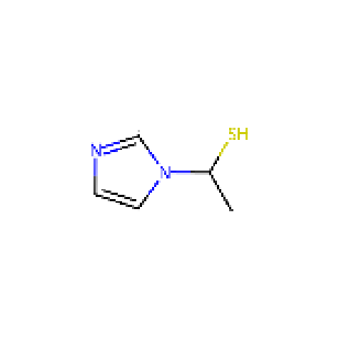 CC(S)n1[c]ncc1